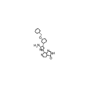 Nc1nn(-c2nccc3c(=O)[nH]cnc23)cc1-c1cccc(OCc2ccccc2)c1